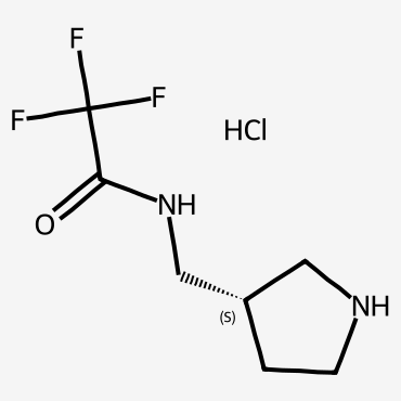 Cl.O=C(NC[C@H]1CCNC1)C(F)(F)F